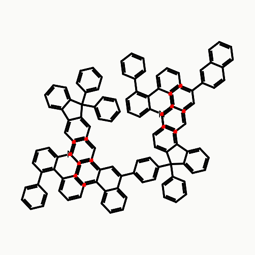 c1ccc(-c2ccccc2-c2c(-c3ccccc3)cccc2N(c2ccc(-c3ccc4ccccc4c3)cc2)c2ccc3c(c2)-c2ccccc2C3(c2ccccc2)c2ccc(-c3cc4cc(N(c5ccc6c(c5)-c5ccccc5C6(c5ccccc5)c5ccccc5)c5cccc(-c6ccccc6)c5-c5ccccc5-c5ccccc5)ccc4c4ccccc34)cc2)cc1